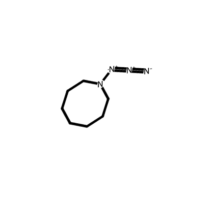 [N-]=[N+]=[N+]N1CCCCCCC1